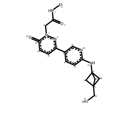 CCNC(=O)Cn1nc(-c2ccc(NC34CC(CO)(C3)C4)nc2)ccc1=O